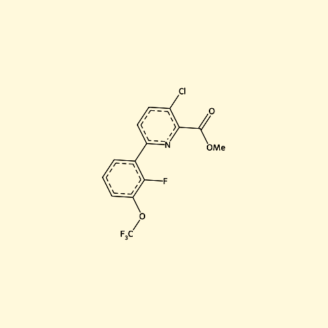 COC(=O)c1nc(-c2cccc(OC(F)(F)F)c2F)ccc1Cl